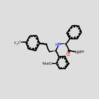 CNC(=O)[C@@H](N[C@H](CCc1ccc(C(F)(F)F)cc1)c1ccccc1OC)c1ccccc1